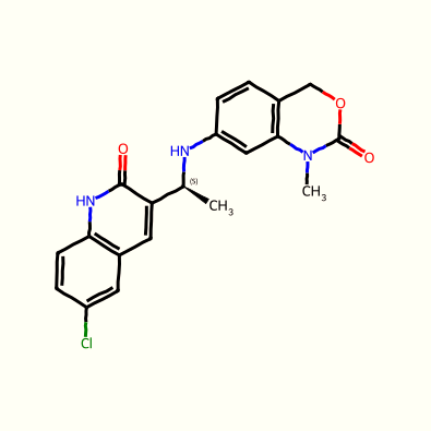 C[C@H](Nc1ccc2c(c1)N(C)C(=O)OC2)c1cc2cc(Cl)ccc2[nH]c1=O